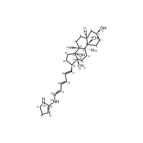 C[C@]12CC[C@H](O)C[C@H]1CC[C@@H]1[C@@H]2CC[C@]2(C)[C@@H](/C=C/C=C/C=N/NC3=NCCN3)CC[C@]12O